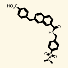 CN(C)S(=O)(=O)c1ccc(CNC(=O)c2ccc3ccc(Cc4ccc(C(=O)O)cc4)cc3c2)cc1